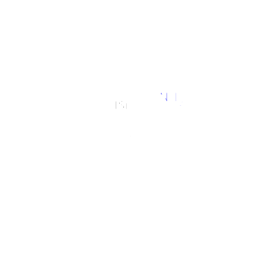 CCC[SiH]N